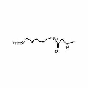 CNCC(=O)NCCCCC#N